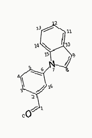 O=Cc1cccc(-n2ccc3ccccc32)c1